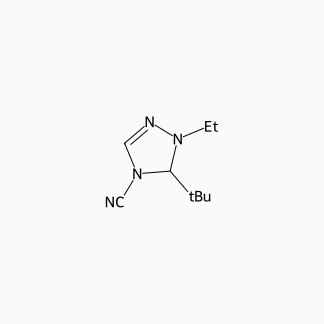 CCN1N=CN(C#N)C1C(C)(C)C